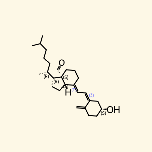 C=C1CC[C@H](O)C/C1=C/C=C1\CCC[C@]2(C=O)[C@@H]([C@H](C)CCCC(C)C)CC[C@@H]12